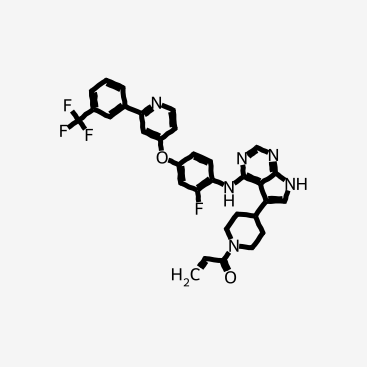 C=CC(=O)N1CCC(c2c[nH]c3ncnc(Nc4ccc(Oc5ccnc(-c6cccc(C(F)(F)F)c6)c5)cc4F)c23)CC1